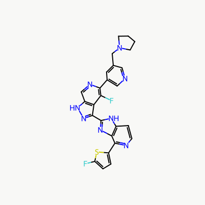 Fc1ccc(-c2nccc3[nH]c(-c4n[nH]c5cnc(-c6cncc(CN7CCCC7)c6)c(F)c45)nc23)s1